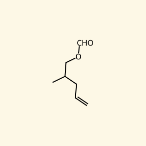 C=CCC(C)COC=O